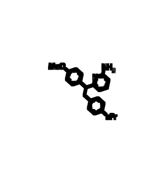 CCCc1ccc(CC(c2ccc(OC)cc2)c2cccc(N)n2)cc1